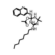 CCCCCCCCNC1=NC(C)(C)NC(Nc2cnc3ccccc3c2)(OC(C)=O)N1